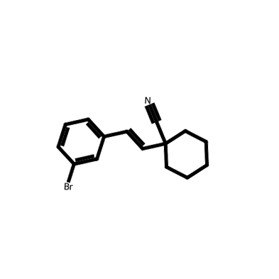 N#CC1(C=Cc2cccc(Br)c2)CCCCC1